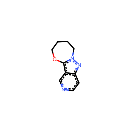 c1cc2nn3c(c2cn1)OCCCC3